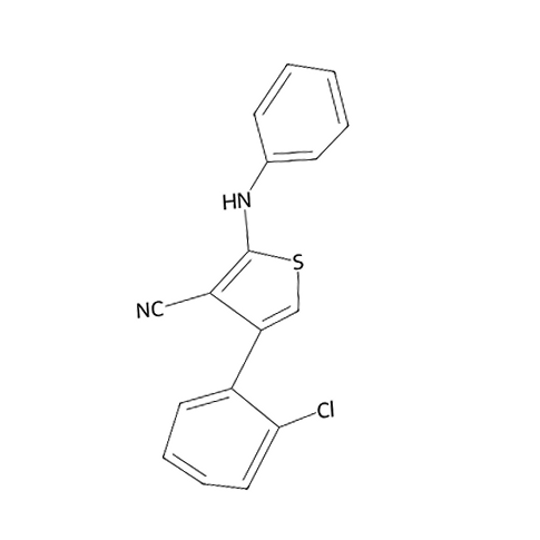 N#Cc1c(-c2ccccc2Cl)csc1Nc1ccccc1